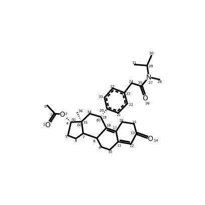 CC(=O)O[C@H]1CCC2C3CCC4=CC(=O)CCC4=C3[C@@H](c3ccc(CC(=O)N(C)C(C)C)cc3)C[C@@]21C